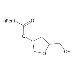 CCCCCC(=O)OC1COC(CO)C1